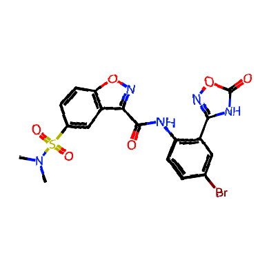 CN(C)S(=O)(=O)c1ccc2onc(C(=O)Nc3ccc(Br)cc3-c3noc(=O)[nH]3)c2c1